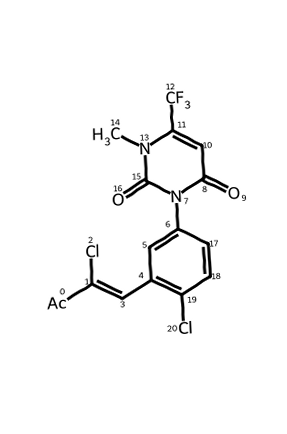 CC(=O)C(Cl)=Cc1cc(-n2c(=O)cc(C(F)(F)F)n(C)c2=O)ccc1Cl